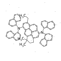 CCc1cc(N(c2cccc3ccccc23)c2cccc3ccccc23)c2cc3c4c(cc(N(c5cccc6ccccc56)c5cccc6ccccc56)c5ccc1c2c54)CCC3(C)C